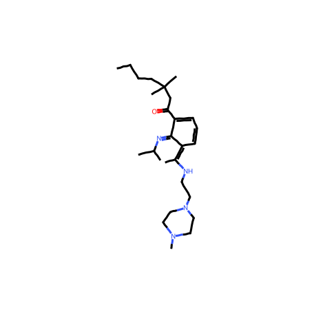 CCCCC(C)(C)CC(=O)C1=CC=CC(=C(/C)NCCN2CCN(C)CC2)/C1=N\C(C)C